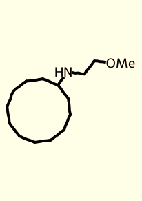 COCCNC1CCCCCCCCCCC1